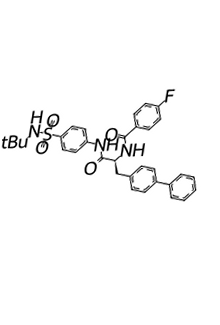 CC(C)(C)NS(=O)(=O)c1ccc(NC(=O)[C@H](Cc2ccc(-c3ccccc3)cc2)NC(=O)c2ccc(F)cc2)cc1